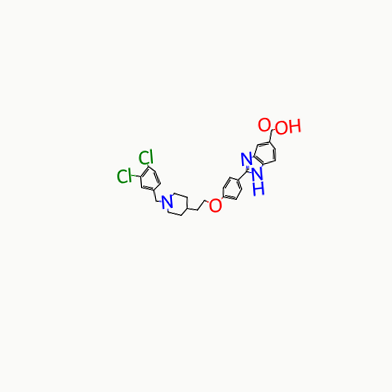 O=C(O)c1ccc2[nH]c(-c3ccc(OCCC4CCN(Cc5ccc(Cl)c(Cl)c5)CC4)cc3)nc2c1